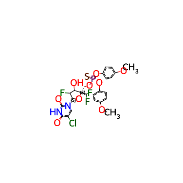 COc1ccc(OP(=S)(OC[C@]2(C(F)F)O[C@H](n3cc(Cl)c(=O)[nH]c3=O)C(F)C2O)Oc2ccc(OC)cc2)cc1